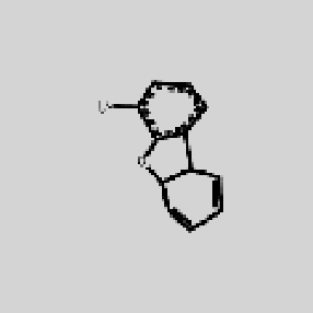 Nc1cccc2c1OC1C=CC=CC21